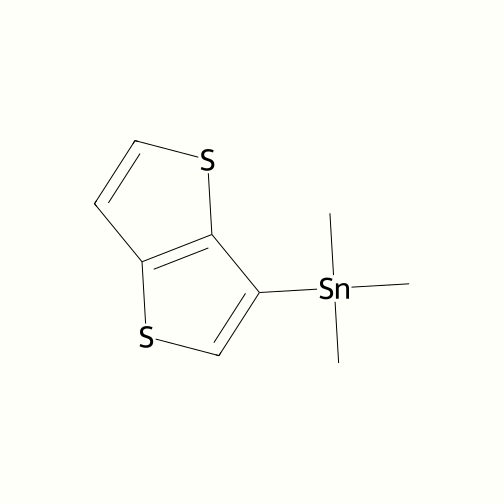 [CH3][Sn]([CH3])([CH3])[c]1csc2ccsc12